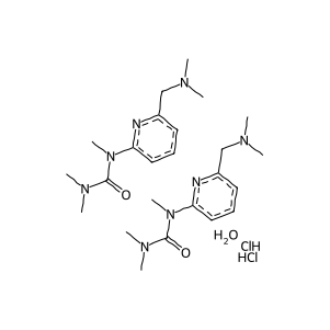 CN(C)Cc1cccc(N(C)C(=O)N(C)C)n1.CN(C)Cc1cccc(N(C)C(=O)N(C)C)n1.Cl.Cl.O